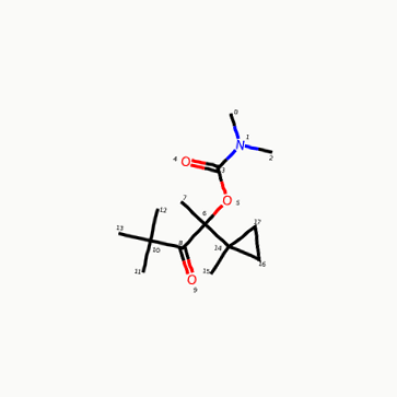 CN(C)C(=O)OC(C)(C(=O)C(C)(C)C)C1(C)CC1